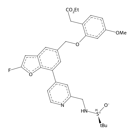 CCOC(=O)Cc1ccc(OC)cc1OCc1cc(-c2ccnc(CN[S@@+]([O-])C(C)(C)C)c2)c2oc(F)cc2c1